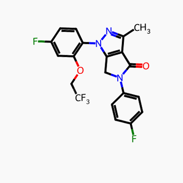 Cc1nn(-c2ccc(F)cc2OCC(F)(F)F)c2c1C(=O)N(c1ccc(F)cc1)C2